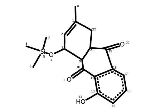 CC1=CC(O[Si](C)(C)C)C2C(=O)c3c(O)cccc3C(=O)C2C1